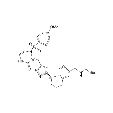 COc1ccc(S(=O)(=O)N2C=CNC(=O)[C@H]2Cc2cn([C@@H]3CCCc4cc(CNCC(C)(C)C)ccc43)nn2)cc1